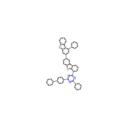 c1ccc(-c2ccc(-c3nc(-c4ccccc4)nc(-c4cccc5c4sc4ccc(-c6cc(-c7ccccc7)c7c(c6)sc6ccccc67)cc45)n3)cc2)cc1